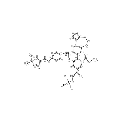 COC(=O)c1nc(C(=O)NCC(F)(F)F)ccc1-c1cc2c(cc1C(=O)Nc1ccc(CNC(=O)OC(C)(C)C)cc1)-c1sccc1CCO2